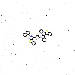 c1ccc2c(-c3nc(-c4ccc(-n5c6ccccc6c6c7c8ccccc8sc7c7ccccc7c65)cc4)c4c(n3)sc3ccccc34)cccc2c1